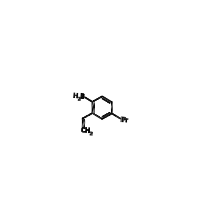 Bc1ccc(C(C)C)cc1C=C